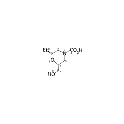 CC[C@H]1CN(C(=O)O)C[C@@H](CO)O1